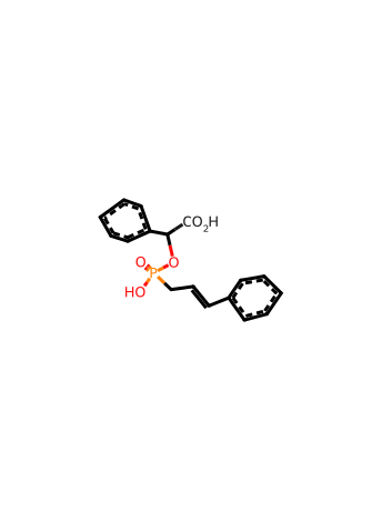 O=C(O)C(OP(=O)(O)CC=Cc1ccccc1)c1ccccc1